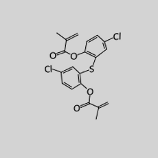 C=C(C)C(=O)Oc1ccc(Cl)cc1Sc1cc(Cl)ccc1OC(=O)C(=C)C